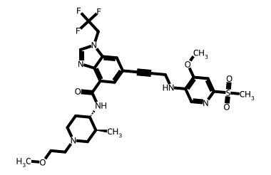 COCCN1CC[C@H](NC(=O)c2cc(C#CCNc3cnc(S(C)(=O)=O)cc3OC)cc3c2ncn3CC(F)(F)F)[C@@H](C)C1